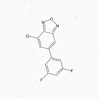 Fc1cc(F)cc(-c2cc(Cl)c3nonc3c2)c1